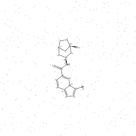 O=C(N[C@@H]1C[C@H]2CCN(C2)C1)c1ccc2ccc(Br)n2c1